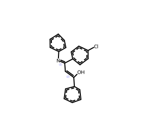 O/C(=C\C(=N\c1ccccc1)c1ccc(Cl)cc1)c1ccccc1